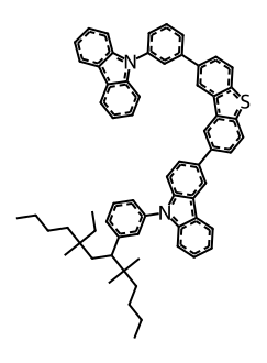 CCCCC(C)(CC)CC(c1cccc(-n2c3ccccc3c3cc(-c4ccc5sc6ccc(-c7cccc(-n8c9ccccc9c9ccccc98)c7)cc6c5c4)ccc32)c1)C(C)(C)CCCC